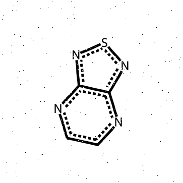 c1cnc2nsnc2n1